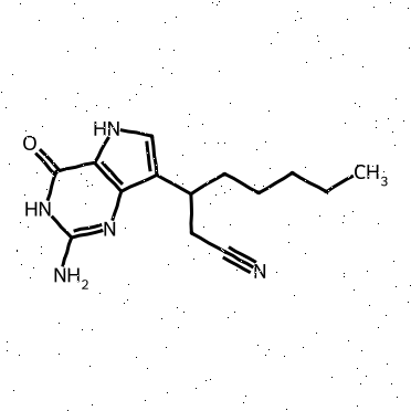 CCCCCC(CC#N)c1c[nH]c2c(=O)[nH]c(N)nc12